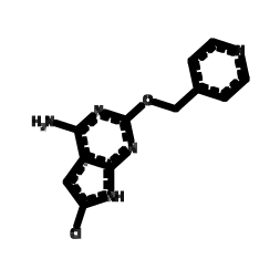 Nc1nc(OCc2ccncc2)nc2[nH]c(Cl)cc12